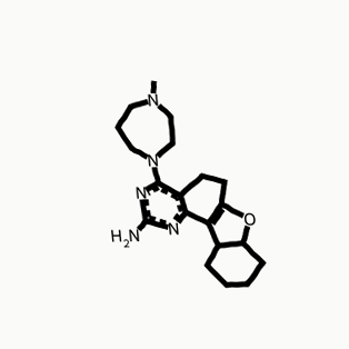 CN1CCCN(c2nc(N)nc3c2CCC2=C3C3CCCCC3O2)CC1